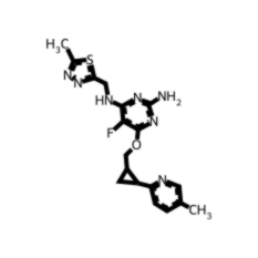 Cc1ccc(C2CC2COc2nc(N)nc(NCc3nnc(C)s3)c2F)nc1